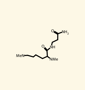 CNCCCCC(NC)C(=O)NCCC(N)=O